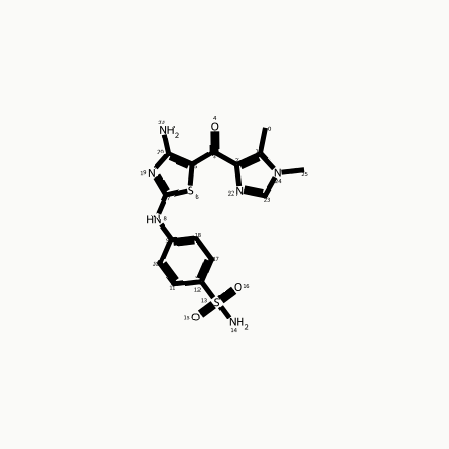 Cc1c(C(=O)c2sc(Nc3ccc(S(N)(=O)=O)cc3)nc2N)ncn1C